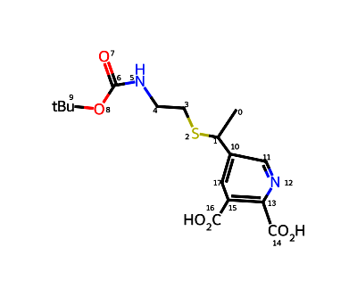 CC(SCCNC(=O)OC(C)(C)C)c1cnc(C(=O)O)c(C(=O)O)c1